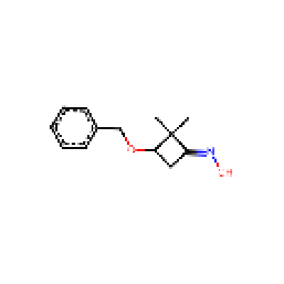 CC1(C)C(=NO)CC1OCc1ccccc1